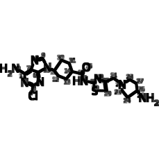 Nc1nc(Cl)nc2c1ncn2C1CCC(C(=O)Nc2nc(CN3CCC(N)CC3)cs2)CC1